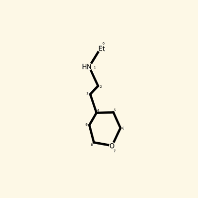 CCNCCC1CCOCC1